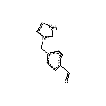 O=Cc1ccc(CN2C=CNC2)cc1